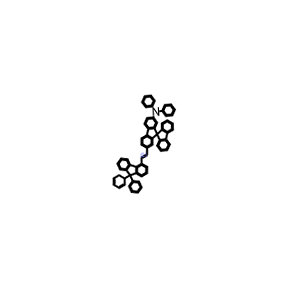 C1=CCC(C2(c3ccccc3)c3ccccc3-c3c(/C=C/c4ccc5c(c4)C4(c6ccccc6-c6ccccc64)c4cc(N(c6ccccc6)c6ccccc6)ccc4-5)cccc32)C=C1